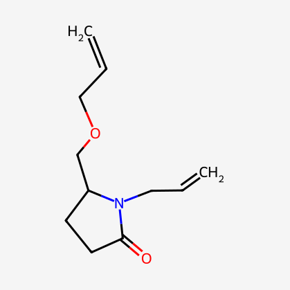 C=CCOCC1CCC(=O)N1CC=C